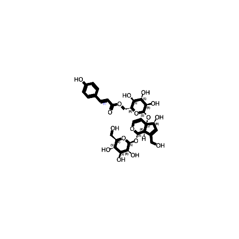 O=C(/C=C/c1ccc(O)cc1)OC[C@H]1O[C@@H](O[C@@]23C=CO[C@@H](O[C@@H]4O[C@H](CO)[C@@H](O)[C@H](O)[C@H]4O)[C@@H]2C(CO)=C[C@H]3O)[C@H](O)[C@@H](O)[C@@H]1O